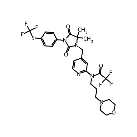 CC1(C)C(=O)N(c2ccc(SC(F)(F)F)cc2)C(=O)N1Cc1ccnc(N(CCCN2CCOCC2)C(=O)C(F)(F)F)c1